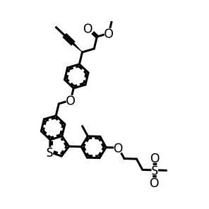 CC#C[C@@H](CC(=O)OC)c1ccc(OCc2ccc3scc(-c4ccc(OCCCS(C)(=O)=O)cc4C)c3c2)cc1